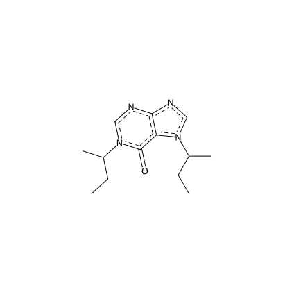 CCC(C)n1cnc2ncn(C(C)CC)c2c1=O